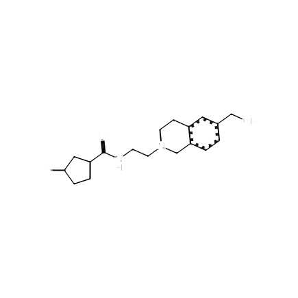 CCc1ccc2c(c1)CCN(CCNC(=O)C1CCC(O)C1)C2